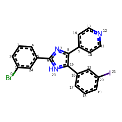 Brc1cccc(-c2nc(-c3ccncc3)c(-c3cccc(I)c3)[nH]2)c1